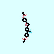 C=CC(=O)Oc1ccc(-c2ccc(-c3ccc(-c4ccc(OC(=O)C=C)cc4)c(C(F)(F)F)c3)o2)cc1